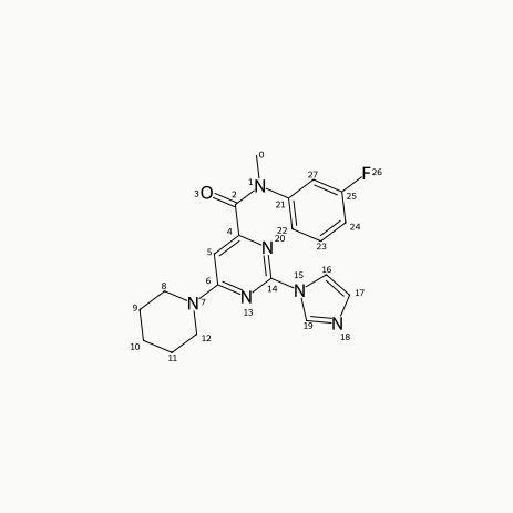 CN(C(=O)c1cc(N2CCCCC2)nc(-n2ccnc2)n1)c1cccc(F)c1